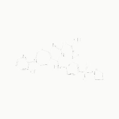 CC(Oc1nc2c(c(Nc3ccc(S(=O)(=O)N4CCCC4)cc3)n1)CCN(c1ncccc1C(F)(F)F)CC2)C1CC1